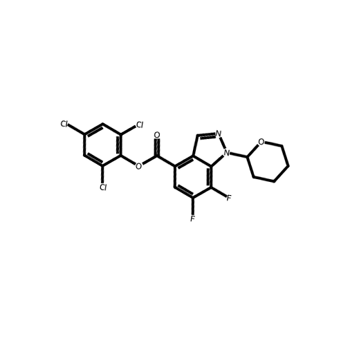 O=C(Oc1c(Cl)cc(Cl)cc1Cl)c1cc(F)c(F)c2c1cnn2C1CCCCO1